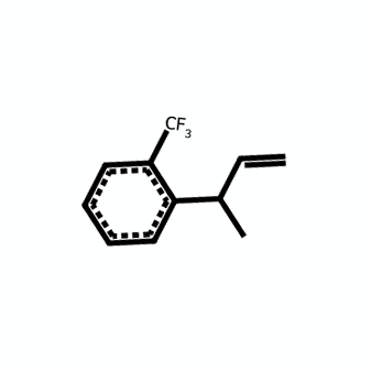 C=CC(C)c1ccccc1C(F)(F)F